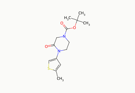 Cc1cc(N2CCN(C(=O)OC(C)(C)C)CC2=O)cs1